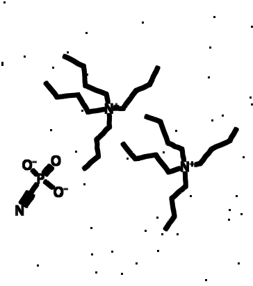 CCCC[N+](CCCC)(CCCC)CCCC.CCCC[N+](CCCC)(CCCC)CCCC.N#CP(=O)([O-])[O-]